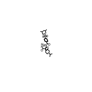 CC1CC(C)CN(S(=O)(=O)c2ccc(C(=O)Nc3sc4c(c3C(N)=O)CCN(C(C)C)C4)cc2)C1